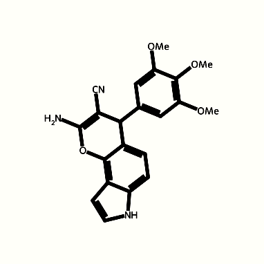 COc1cc(C2C(C#N)=C(N)Oc3c2ccc2[nH]ccc32)cc(OC)c1OC